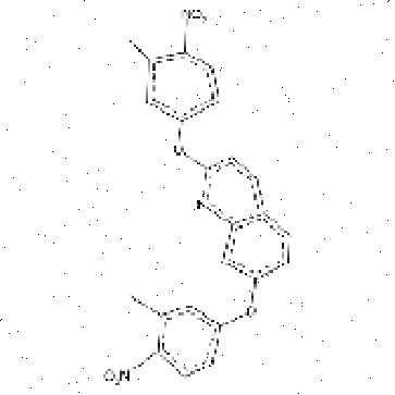 Cc1cc(Oc2ccc3ccc(Oc4ccc([N+](=O)[O-])c(C)c4)nc3c2)ccc1[N+](=O)[O-]